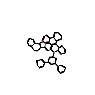 c1ccc(-c2cc(-c3ccccc3)cc(N(c3ccc4sc5c6ccccc6ccc5c4c3)c3ccccc3-c3cc4ccccc4c4ccccc34)c2)cc1